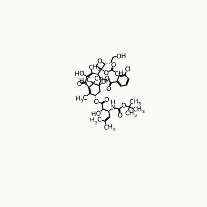 CC(=O)O[C@@]1([C@@H]2/C(C)=C(/O)C(=O)C3=C(C)[C@@H](OC(=O)[C@H](O)[C@H](C=C(C)C)NC(=O)OC(C)(C)C)C[C@@](O)([C@H]2OC(=O)c2cccc(Cl)c2)C3(C)C)CO[C@@H]1CCO